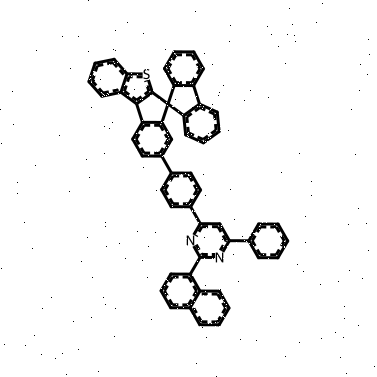 c1ccc(-c2cc(-c3ccc(-c4ccc5c(c4)C4(c6ccccc6-c6ccccc64)c4sc6ccccc6c4-5)cc3)nc(-c3cccc4ccccc34)n2)cc1